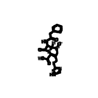 O=C(Cc1ccccc1)NC1C(=O)N2C(C(=O)O)=C(CSc3nc[nH]n3)C[S+]([O-])[C@@H]12